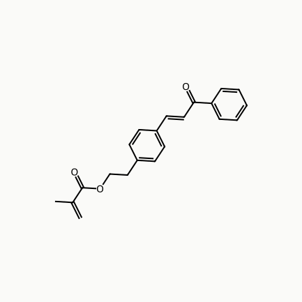 C=C(C)C(=O)OCCc1ccc(C=CC(=O)c2ccccc2)cc1